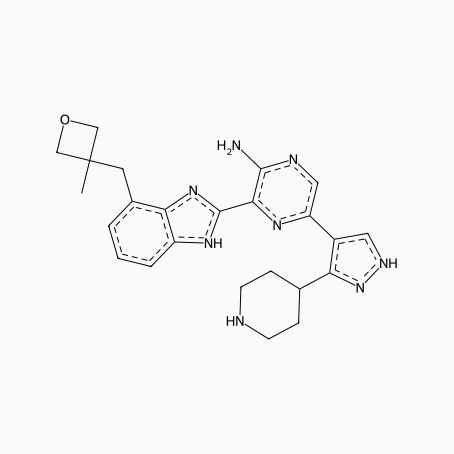 CC1(Cc2cccc3[nH]c(-c4nc(-c5c[nH]nc5C5CCNCC5)cnc4N)nc23)COC1